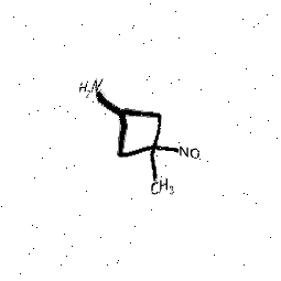 CC1(N=O)CC(N)C1